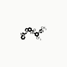 Cc1cn(-c2cc(NC(=O)c3ccc4c(c3)N(Cc3cnc5ccccn35)CC4)cc(C(F)(F)F)c2)cn1